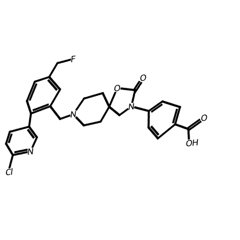 O=C(O)c1ccc(N2CC3(CCN(Cc4cc(CF)ccc4-c4ccc(Cl)nc4)CC3)OC2=O)cc1